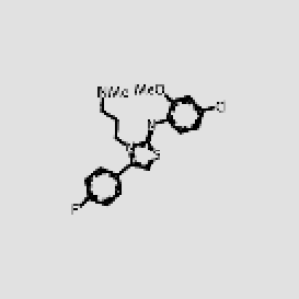 CNCCCn1c(-c2ccc(F)cc2)cs/c1=N\c1ccc(Cl)cc1OC